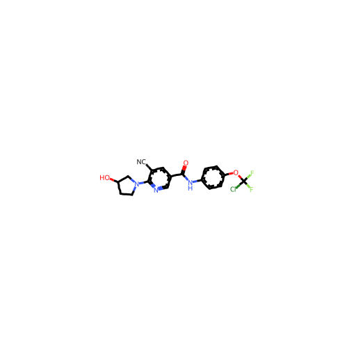 N#Cc1cc(C(=O)Nc2ccc(OC(F)(F)Cl)cc2)cnc1N1CCC(O)C1